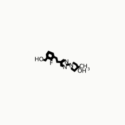 CC1(O)CCN(c2ncc(CCc3cccc(CO)c3F)cn2)CC1